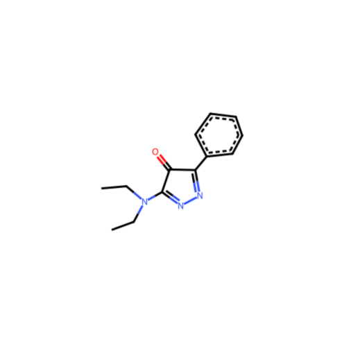 CCN(CC)C1=NN=C(c2ccccc2)C1=O